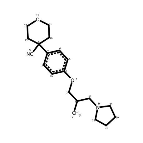 CC(COc1ccc(C2(C#N)CCOCC2)cc1)CN1CCCC1